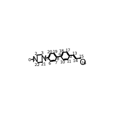 CN1CCN(c2ccc(-c3ccc(/C=C/C=O)cc3)cc2)CC1